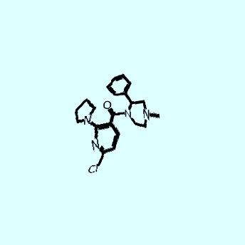 CN1CCN(C(=O)c2ccc(Cl)nc2N2CCCC2)C(c2ccccc2)C1